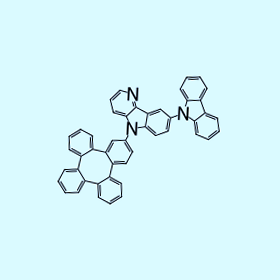 c1ccc2c(c1)-c1ccccc1-c1ccc(-n3c4ccc(-n5c6ccccc6c6ccccc65)cc4c4ncccc43)cc1-c1ccccc1-2